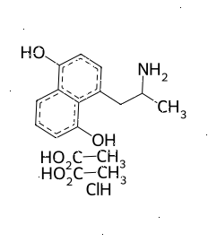 CC(=O)O.CC(=O)O.CC(N)Cc1ccc(O)c2cccc(O)c12.Cl